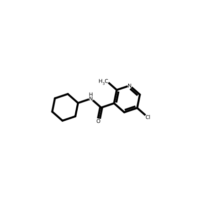 Cc1ncc(Cl)cc1C(=O)NC1CCCCC1